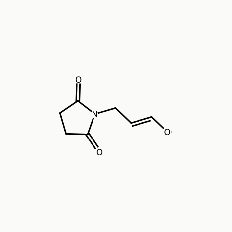 [O]C=CCN1C(=O)CCC1=O